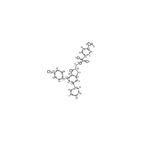 Cc1ccc(S(=O)(=O)OCC2Cc3cc(-c4ccccc4)cc(-c4ccc(Cl)cc4)c3O2)cc1